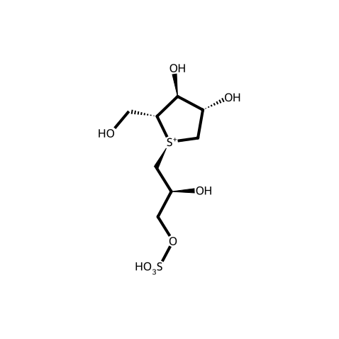 O=S(=O)(O)OC[C@H](O)C[S@+]1C[C@@H](O)[C@H](O)[C@H]1CO